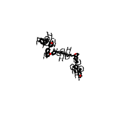 COc1ncc(-c2ccc3nccc(-c4ccc(COC(=O)NCCNC(=O)CCc5cccc6c5CN(C(=O)C[C@@H]5C[C@@H](C(=O)N7CC(C)(F)C[C@H]7C#N)NC5=O)C6)nc4)c3c2)cc1NS(=O)(=O)c1ccc(F)cc1F